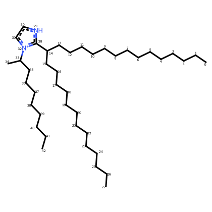 CCCCCCCCCCCCCCC(CCCCCCCCCCCCC)c1[nH]cc[n+]1C(C)CCCCCCCC